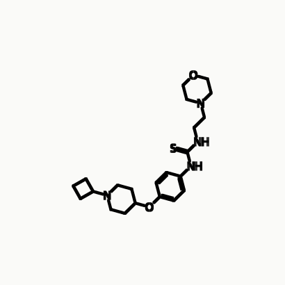 S=C(NCCN1CCOCC1)Nc1ccc(OC2CCN(C3CCC3)CC2)cc1